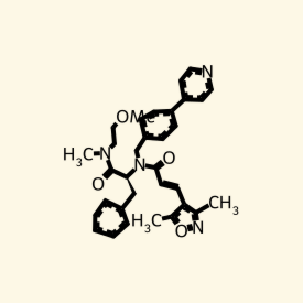 COCCN(C)C(=O)[C@H](Cc1ccccc1)N(Cc1ccc(-c2ccncc2)cc1)C(=O)/C=C/c1c(C)noc1C